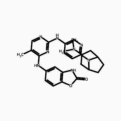 Cc1cnc(Nc2ccc(N3C4CCC3CC(N(C)C)C4)nc2)nc1Nc1ccc2oc(=O)[nH]c2c1